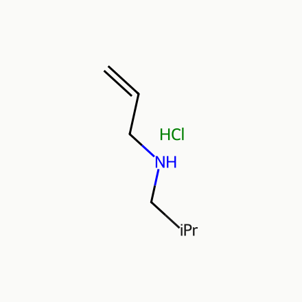 C=CCNCC(C)C.Cl